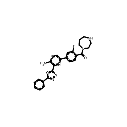 Nc1ncc(-c2ccc(C(=O)N3CCCNCC3)c(F)c2)nc1-c1nnc(-c2ccccc2)o1